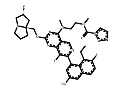 CCc1c(F)ccc2cc(O)cc(-c3ncc4c(N(C)CCN(C)C(=O)n5ccnn5)nc(OC[C@@]56CCCN5C[C@H](F)C6)nc4c3F)c12